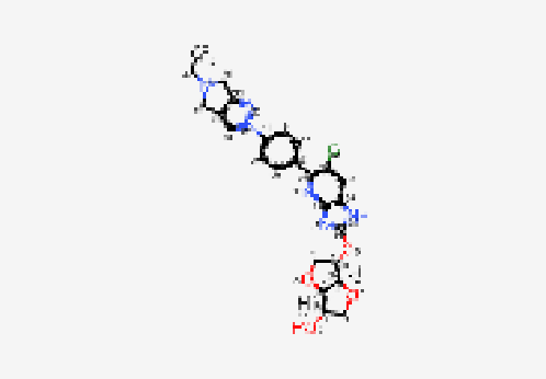 O[C@@H]1CO[C@H]2[C@@H]1OC[C@H]2Oc1nc2nc(-c3ccc(-n4cc5c(n4)CN(CC(F)(F)F)C5)cc3)c(Cl)cc2[nH]1